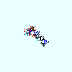 CN(Cc1ccc(-c2cc3ncn(CC[C@](C)(CN(O)C(=O)C(F)(F)F)S(C)(=O)=O)c(=O)c3cc2F)cc1)C1CC1